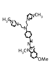 COc1ccc2c(c1)sc(N=Nc1ccc(N(CCn3cc[n+](C)c3)CCn3cc[n+](C)c3)cc1)[n+]2C